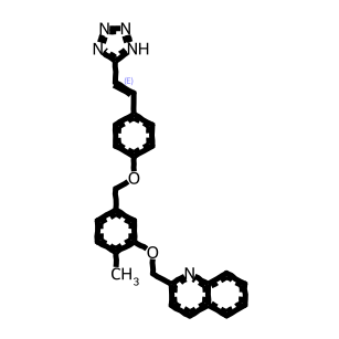 Cc1ccc(COc2ccc(/C=C/c3nnn[nH]3)cc2)cc1OCc1ccc2ccccc2n1